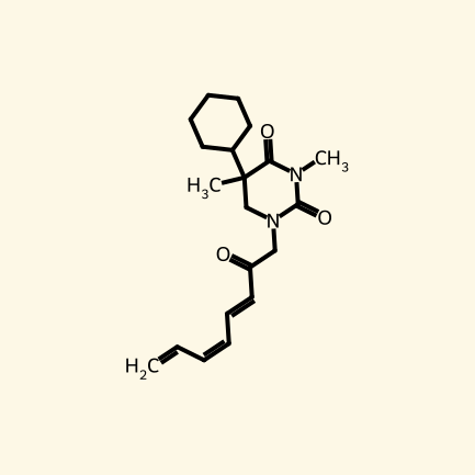 C=C/C=C\C=C\C(=O)CN1CC(C)(C2CCCCC2)C(=O)N(C)C1=O